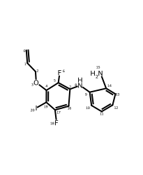 C=CCOc1c(F)c(Nc2ccccc2N)cc(F)c1I